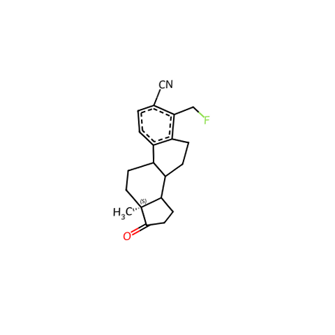 C[C@]12CCC3c4ccc(C#N)c(CF)c4CCC3C1CCC2=O